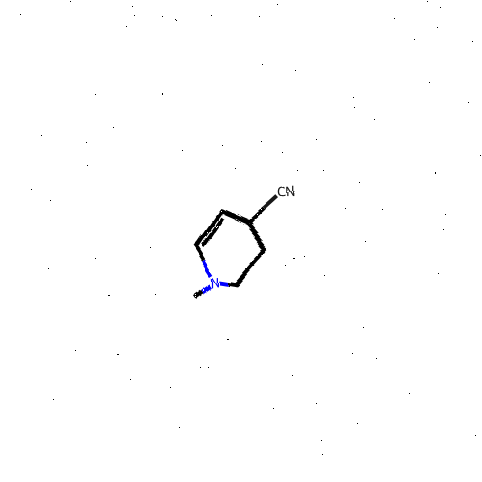 CN1C=CC(C#N)CC1